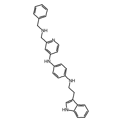 c1ccc(CNCc2cc(Nc3ccc(NCCc4c[nH]c5ccccc45)cc3)ccn2)cc1